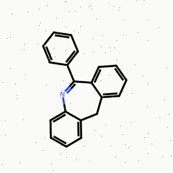 c1ccc(C2=Nc3ccccc3Cc3ccccc32)cc1